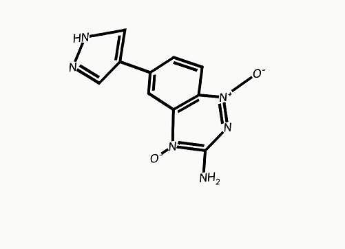 Nc1n[n+]([O-])c2ccc(-c3cn[nH]c3)cc2[n+]1[O-]